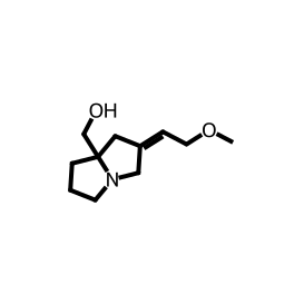 COCC=C1CN2CCCC2(CO)C1